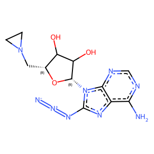 [N-]=[N+]=Nc1nc2c(N)ncnc2n1[C@@H]1O[C@H](CN2CC2)C(O)C1O